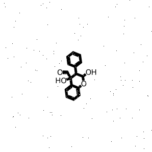 O=CC1(O)c2ccccc2OC(O)C1c1ccccc1